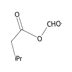 CC(C)CC(=O)O[C]=O